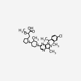 COC(CC1CCCN1C1CCN(c2cnc3c(C)nn(C(C)c4ccc(Cl)cc4C)c3n2)CC1C)C(=O)O